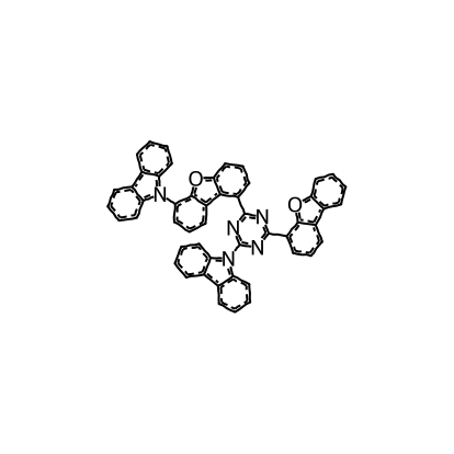 c1ccc2c(c1)oc1c(-c3nc(-c4cccc5oc6c(-n7c8ccccc8c8ccccc87)cccc6c45)nc(-n4c5ccccc5c5ccccc54)n3)cccc12